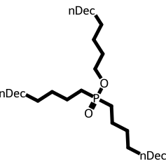 CCCCCCCCCCCCCCOP(=O)(CCCCCCCCCCCCCC)CCCCCCCCCCCCCC